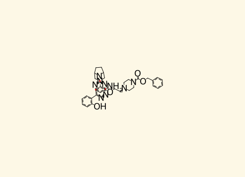 Nc1nnc(-c2ccccc2O)cc1N1CC2CCC(C1)N2c1nccc(OCCN2CCN(C(=O)OCc3ccccc3)CC2)n1